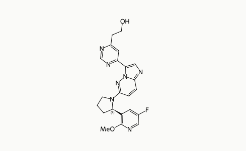 COc1ncc(F)cc1[C@H]1CCCN1c1ccc2ncc(-c3cc(CCO)ncn3)n2n1